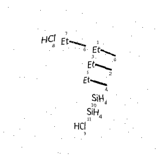 CCC.CCC.CCC.CCC.Cl.Cl.[SiH4].[SiH4]